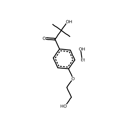 CC(C)(O)C(=O)c1ccc(OCCO)cc1.CCO